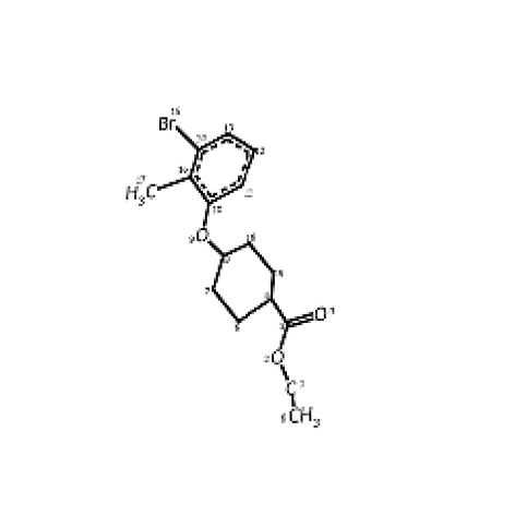 CCOC(=O)C1CCC(Oc2cccc(Br)c2C)CC1